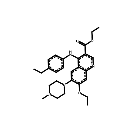 CCOC(=O)c1cnc2cc(OCC)c(N3CCN(C)CC3)cc2c1Nc1ccc(CC)cc1